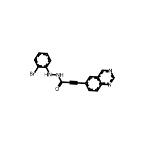 O=C(C#Cc1ccc2ncncc2c1)NNc1ccccc1Br